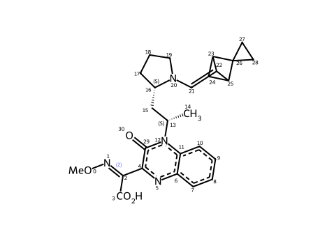 CO/N=C(\C(=O)O)c1nc2ccccc2n([C@@H](C)C[C@@H]2CCCN2C=C2C3CC2C32CC2)c1=O